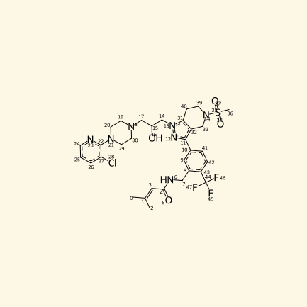 CC(C)=CC(=O)NCc1cc(-c2nn(CC(O)CN3CCN(c4ncccc4Cl)CC3)c3c2CN(S(C)(=O)=O)CC3)ccc1C(F)(F)F